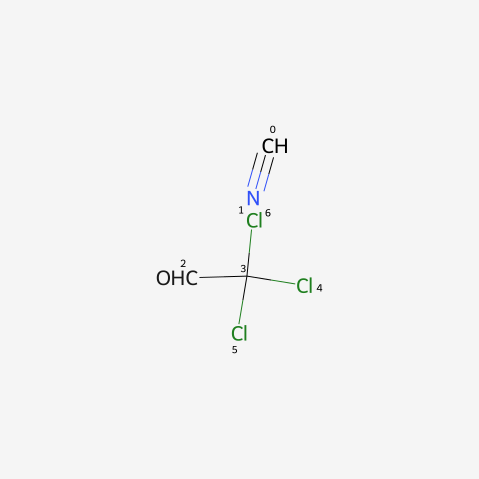 C#N.O=CC(Cl)(Cl)Cl